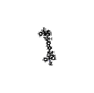 COO/C=N/[C@@H](C(=O)N1[C@@H]2CCCC[C@@H]2C[C@H]1c1ncc(-c2ccc3c(c2)Cc2cc(-c4cnc([C@@H]5C[C@H]6CCCC[C@H]6N5C(=O)[C@H](NC(=O)OC)c5ccccc5)[nH]4)ccc2-3)[nH]1)c1ccccc1